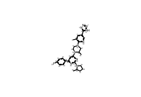 Cc1cc(-c2nnn[nH]2)cnc1N1CCN(c2cc(-c3ccc(F)cc3)nc(N3CCCC3C)n2)C(C)C1